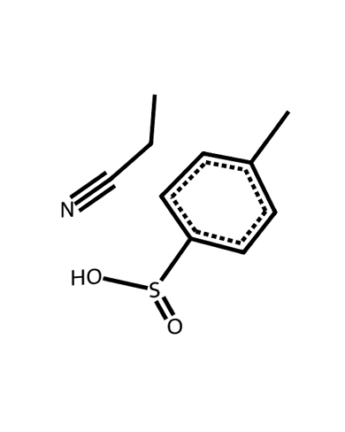 CCC#N.Cc1ccc(S(=O)O)cc1